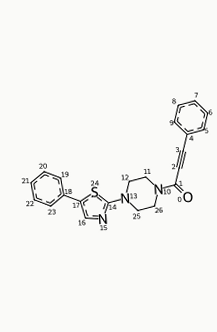 O=C(C#Cc1ccccc1)N1CCN(c2ncc(-c3ccccc3)s2)CC1